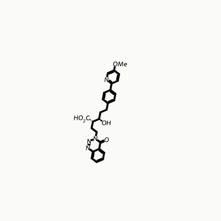 COc1ccc(-c2ccc(CC[C@@H](O)[C@H](CCn3nnc4ccccc4c3=O)C(=O)O)cc2)nc1